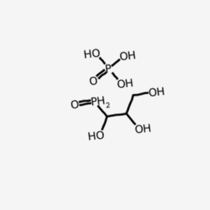 O=P(O)(O)O.O=[PH2]C(O)C(O)CO